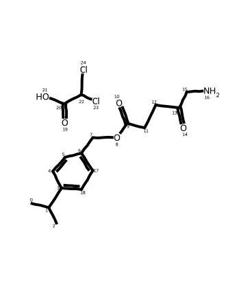 CC(C)c1ccc(COC(=O)CCC(=O)CN)cc1.O=C(O)C(Cl)Cl